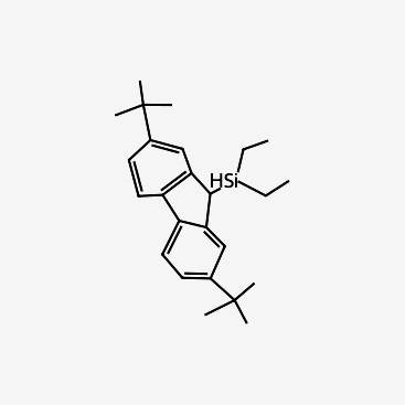 CC[SiH](CC)C1c2cc(C(C)(C)C)ccc2-c2ccc(C(C)(C)C)cc21